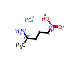 C[C@@H](N)CCC[PH](=O)O.Cl